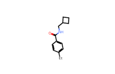 CCc1ccc(C(=O)NCC2CCC2)cc1